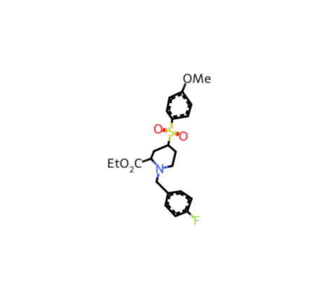 CCOC(=O)C1CC(S(=O)(=O)c2ccc(OC)cc2)CCN1Cc1ccc(F)cc1